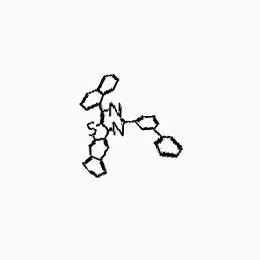 c1ccc(-c2cccc(-c3nc(-c4cccc5ccccc45)c4sc5cc6ccccc6cc5c4n3)c2)cc1